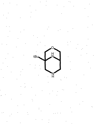 CC(C)(C)C12CNCC(COC1)N2